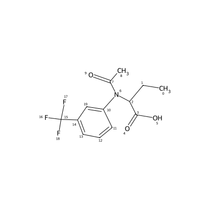 CCC(C(=O)O)N(C(C)=O)c1cccc(C(F)(F)F)c1